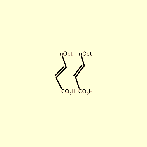 CCCCCCCCC=CC(=O)O.CCCCCCCCC=CC(=O)O